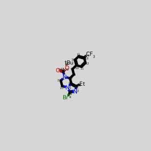 CCc1nc(Br)n2c1C(CCc1ccc(C(F)(F)F)cc1)N(C(=O)OC(C)(C)C)CC2